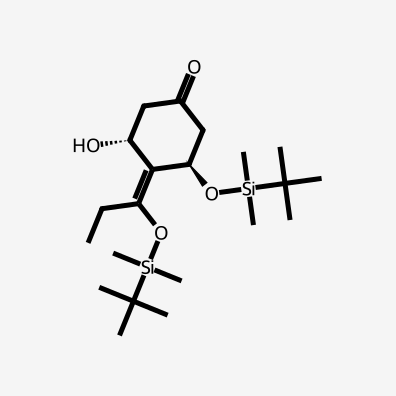 CCC(O[Si](C)(C)C(C)(C)C)=C1[C@H](O)CC(=O)C[C@H]1O[Si](C)(C)C(C)(C)C